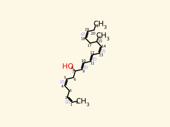 C/C=C\C/C=C\CC(O)/C=C/C=C/C=C\C(C)C/C=C\CC